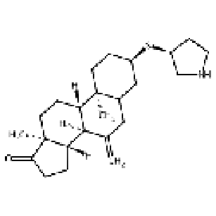 C=C1CC2C[C@H](S[C@H]3CCNC3)CC[C@]2(C)[C@H]2CC[C@]3(C)C(=O)CC[C@H]3[C@H]12